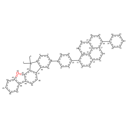 CC1(C)c2ccc(-c3ccc(-c4ccc5ccc6c(-c7ccccc7)ccc7ccc4c5c76)cc3)cc2-c2ccc3c(oc4ccccc43)c21